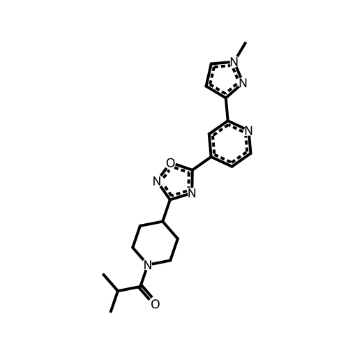 CC(C)C(=O)N1CCC(c2noc(-c3ccnc(-c4ccn(C)n4)c3)n2)CC1